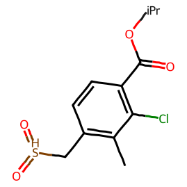 Cc1c(C[SH](=O)=O)ccc(C(=O)OC(C)C)c1Cl